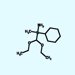 CCOC(OCC)[Si](C)(N)C1CCCCC1